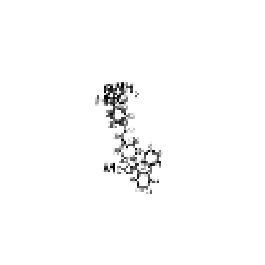 COC(c1ccccc1)(c1ccccc1)C1CCN(CCc2ccc(NS(N)(=O)=O)cc2)CC1